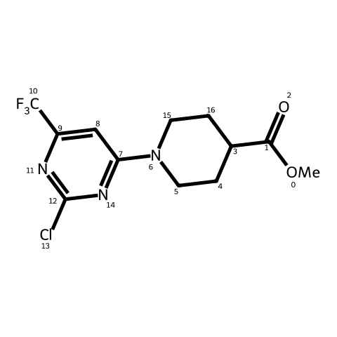 COC(=O)C1CCN(c2cc(C(F)(F)F)nc(Cl)n2)CC1